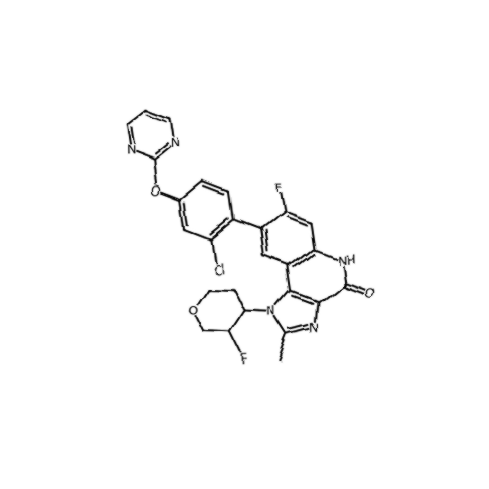 Cc1nc2c(=O)[nH]c3cc(F)c(-c4ccc(Oc5ncccn5)cc4Cl)cc3c2n1C1CCOCC1F